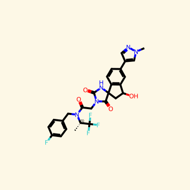 C[C@H](N(Cc1ccc(F)cc1)C(=O)CN1C(=O)NC2(CC(O)c3cc(-c4cnn(C)c4)ccc32)C1=O)C(F)(F)F